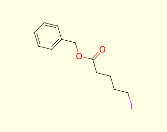 O=C(CCCCI)OCc1ccccc1